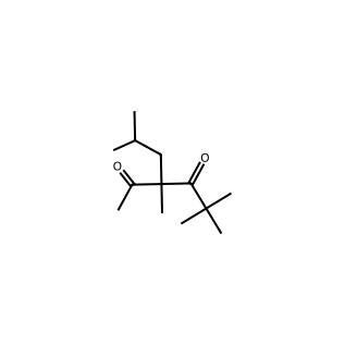 CC(=O)C(C)(CC(C)C)C(=O)C(C)(C)C